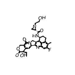 CC[C@@]1(O)C(=O)OCc2c1cc1n(c2=O)Cc2c-1nc1cc(F)c(C)c3c1c2[C@@H](NC(=O)[C@@H]1CN1CCO)CC3